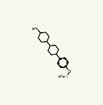 CCCCCOc1ccc(C2CCC(C3CCC(CCC)CC3)CC2)cc1